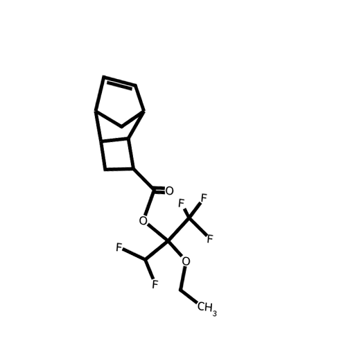 CCOC(OC(=O)C1CC2C3C=CC(C3)C12)(C(F)F)C(F)(F)F